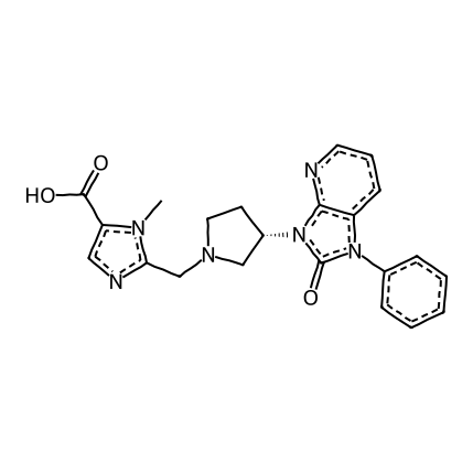 Cn1c(C(=O)O)cnc1CN1CC[C@H](n2c(=O)n(-c3ccccc3)c3cccnc32)C1